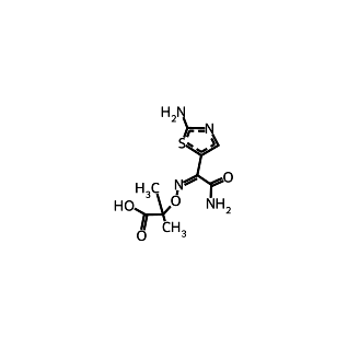 CC(C)(O/N=C(\C(N)=O)c1cnc(N)s1)C(=O)O